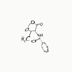 CC1OCOC(=O)C1NC(=O)c1ccccc1